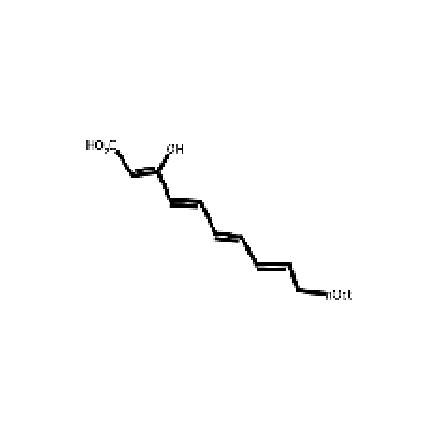 CCCCCCCCCC=CC=CC=CC(O)=CC(=O)O